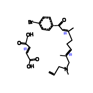 C=CCN(C)C/C(C)=C/CC/C(C)=C/C(=O)c1ccc(Br)cc1.O=C(O)/C=C/C(=O)O